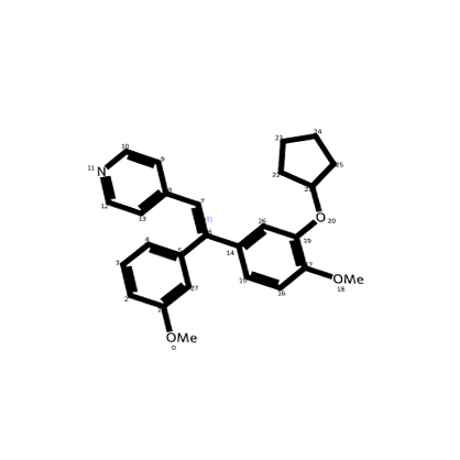 COc1cccc(/C(=C\c2ccncc2)c2ccc(OC)c(OC3CCCC3)c2)c1